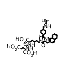 O=C(O)CCC(NC(=O)NC(CCCCNC(=O)C(Cc1ccc2ccccc2c1)NC(=O)C1CCC(CNC[18F])CC1)C(=O)O)C(=O)O